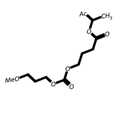 COCCCOC(=O)OCCCC(=O)OC(C)C(C)=O